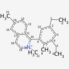 CCc1cc(CC)c(C)c(-c2c3ccc(C)cc3cc[n+]2C)c1